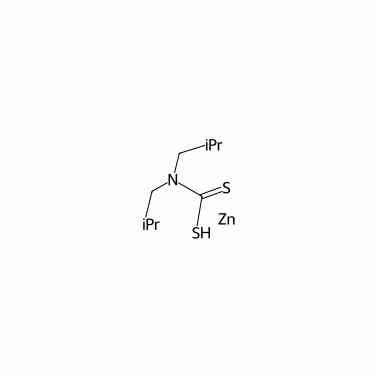 CC(C)CN(CC(C)C)C(=S)S.[Zn]